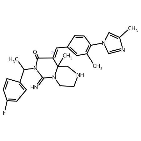 Cc1cn(-c2ccc(/C=C3/C(=O)N(C(C)c4ccc(F)cc4)C(=N)N4CCNCC34C)cc2C)cn1